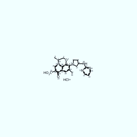 C[C@H]1COc2c(N3CCC(Nc4ncccn4)C3)c(F)cc3c(=O)c(C(=O)O)cn1c23.Cl